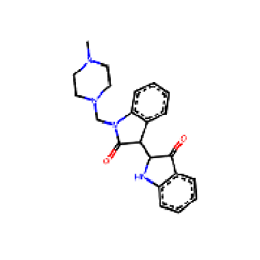 CN1CCN(CN2C(=O)C(C3Nc4ccccc4C3=O)c3ccccc32)CC1